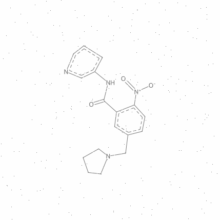 O=C(Nc1cccnc1)c1cc(CN2CCCC2)ccc1[N+](=O)[O-]